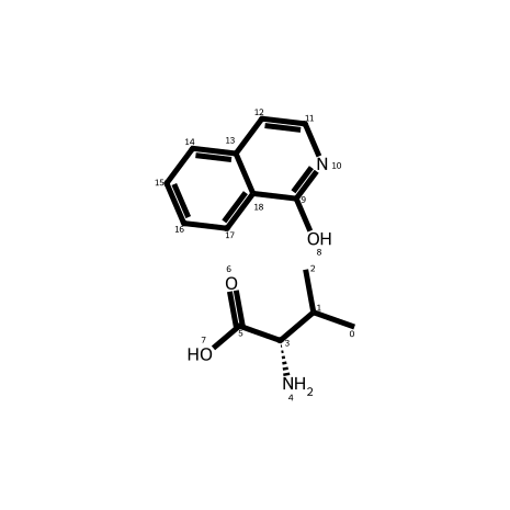 CC(C)[C@H](N)C(=O)O.Oc1nccc2ccccc12